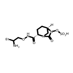 CCC(N)CONC(=O)[C@@H]1CC[C@@H]2CN1C(=O)N2OS(=O)(=O)O